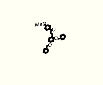 COc1ccc(C(=O)CCc2ccc(OCc3ccccc3)cc2OCc2ccccc2)cc1